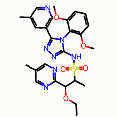 CCO[C@@H](c1ncc(C)cn1)C(C)S(=O)(=O)Nc1nnc(-c2cncc(C)c2)n1-c1c(OC)cccc1OC